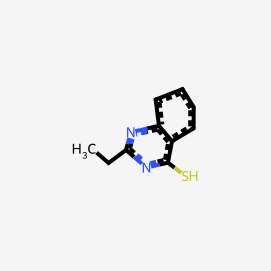 CCc1nc(S)c2ccccc2n1